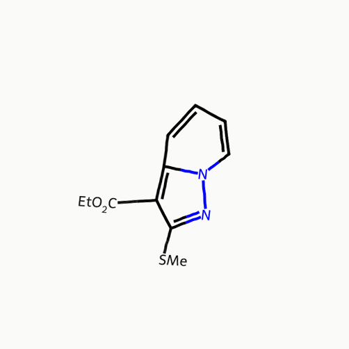 CCOC(=O)c1c(SC)nn2ccccc12